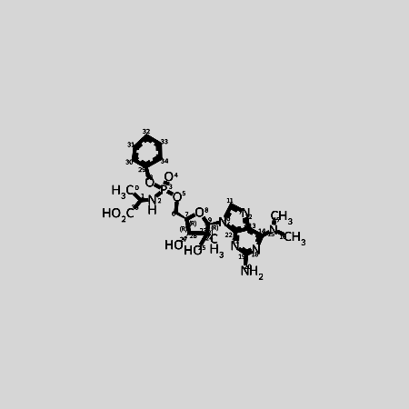 CC(NP(=O)(OC[C@H]1O[C@@H](n2cnc3c(N(C)C)nc(N)nc32)[C@](C)(O)[C@@H]1O)Oc1ccccc1)C(=O)O